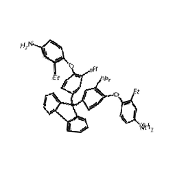 CCCc1cc(C2(c3ccc(Oc4ccc(N)cc4CC)c(CCC)c3)c3ccccc3-c3ccccc32)ccc1Oc1ccc(N)cc1CC